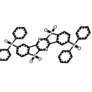 O=P(c1ccccc1)(c1ccccc1)c1ccc2c(c1)-c1nc3c(nc1S2(=O)=O)-c1cc(P(=O)(c2ccccc2)c2ccccc2)ccc1S3(=O)=O